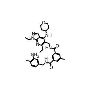 Bc1cc(CNC(=O)c2cc(C)cc(C(=O)NCc3c(CC)nc4c(cnn4CC)c3NC3CCOCC3)c2)ccc1C